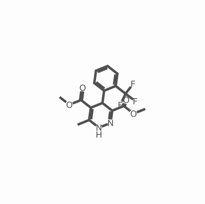 COC(=O)C1=NNC(C)=C(C(=O)OC)C1c1ccccc1C(F)(F)F